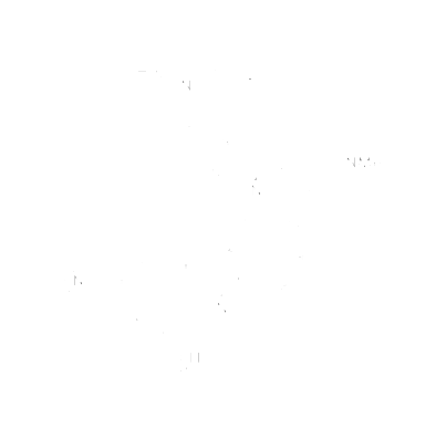 CNCc1cn(SC2=CC=CN(C)C2)c2cc(Nc3ccc([N+](=O)[O-])cc3C)ccc12